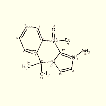 CCP1(=O)c2ccccc2C(C)(C)n2cc[n+](N)c21